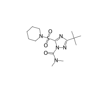 CN(C)C(=O)n1nc(C(C)(C)C)nc1S(=O)(=O)N1CCCCC1